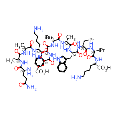 CC[C@H](C)[C@H](NC(=O)[C@H](Cc1ccccc1)NC(=O)[C@H](CCC(=O)O)NC(=O)[C@H](CCCCN)NC(=O)[C@H](C)NC(=O)[C@H](C)NC(=O)[C@@H](N)CCC(N)=O)C(=O)N[C@@H](C)C(=O)N[C@@H](Cc1c[nH]c2ccccc12)C(=O)N[C@@H](CC(C)C)C(=O)N[C@H](C(=O)N[C@@H](CCCCN)C(=O)O)C(C)C